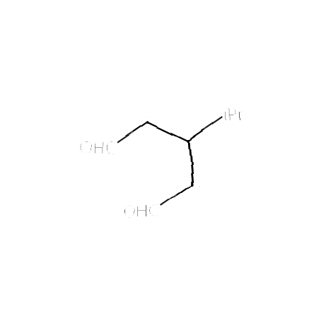 C[C](C)C(CC=O)CC=O